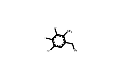 CC(C)Cc1cc(C#N)c(F)c(Br)c1N